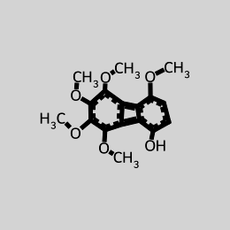 COc1c(OC)c(OC)c2c(c1OC)=c1c(O)ccc(OC)c1=2